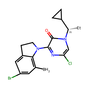 Bc1cc(Br)cc2c1N(c1nc(Cl)cn([C@@H](CC)C3CC3)c1=O)CC2